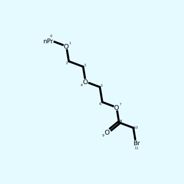 CCCOCCOCCOC(=O)CBr